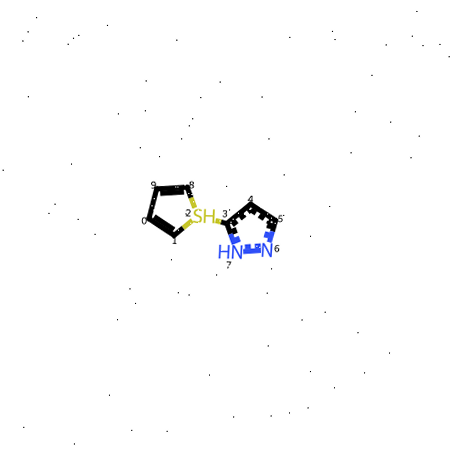 C1=C[SH](c2ccn[nH]2)C=C1